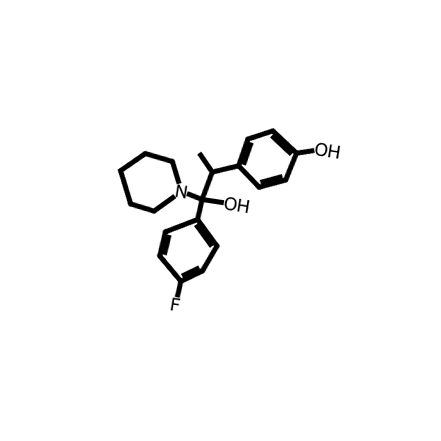 CC(c1ccc(O)cc1)C(O)(c1ccc(F)cc1)N1CCCCC1